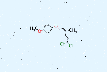 COc1ccc(OCC=C(C)CC=C(Cl)Cl)cc1